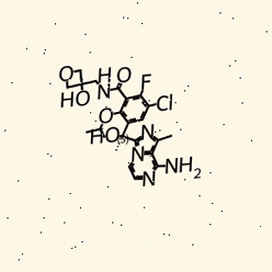 Cc1nc([C@@](C)(O)c2cc(Cl)c(F)c(C(=O)NCC3(O)COC3)c2OC(C)C)n2ccnc(N)c12